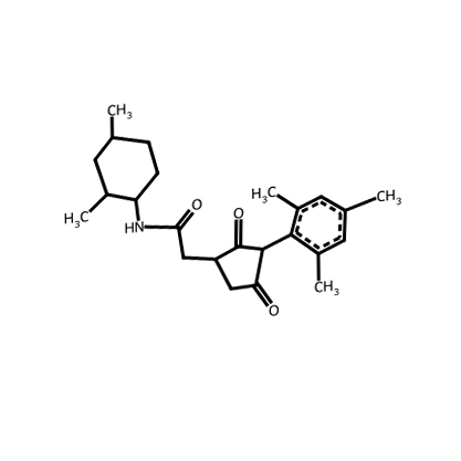 Cc1cc(C)c(C2C(=O)CC(CC(=O)NC3CCC(C)CC3C)C2=O)c(C)c1